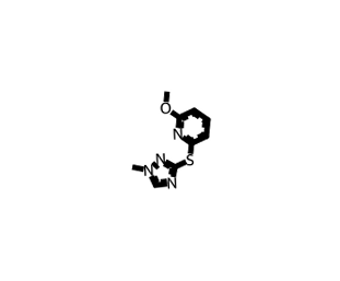 COc1cccc(Sc2ncn(C)n2)n1